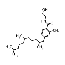 Cc1cc(CC(C)CCCC(C)CCCC(C)C)ccc1C(=O)NCCO